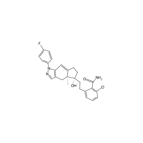 C[C@]12Cc3cnn(-c4ccc(F)cc4)c3C=C1CC[C@@]2(O)CCc1cccc(Cl)c1C(N)=O